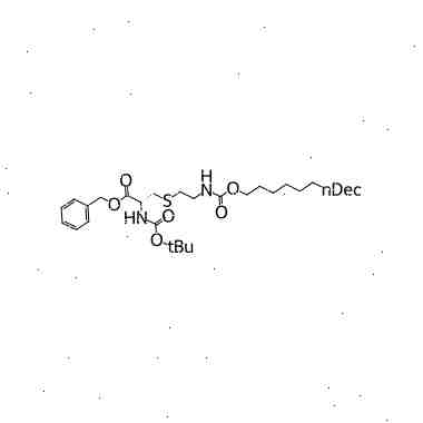 CCCCCCCCCCCCCCCCOC(=O)NCCSC[C@H](NC(=O)OC(C)(C)C)C(=O)OCc1ccccc1